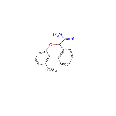 COc1cccc(OC(C(=N)N)c2ccccc2)c1